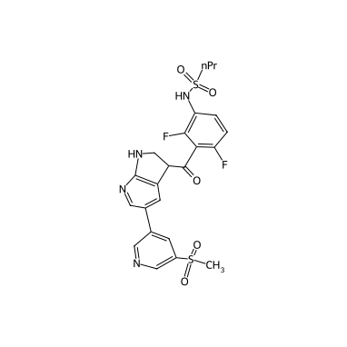 CCCS(=O)(=O)Nc1ccc(F)c(C(=O)C2CNc3ncc(-c4cncc(S(C)(=O)=O)c4)cc32)c1F